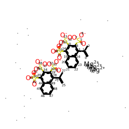 C=C(C)c1c(S(=O)(=O)[O-])c(S(=O)(=O)[O-])c(S(=O)(=O)[O-])c2ccccc12.C=C(C)c1c(S(=O)(=O)[O-])c(S(=O)(=O)[O-])c(S(=O)(=O)[O-])c2ccccc12.[Mg+2].[Mg+2].[Mg+2]